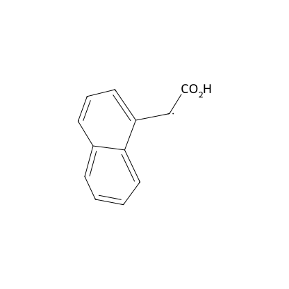 O=C(O)[CH]c1cccc2ccccc12